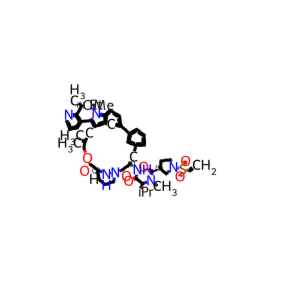 C=CS(=O)(=O)N1CC[C@H](C(=O)N(C)C(C(=O)N[C@H]2Cc3cccc(c3)-c3ccc4c(c3)c(c(-c3cccnc3[C@H](C)OC)n4CC)CC(C)(C)COC(=O)[C@@H]3CCCN(N3)C2=O)C(C)C)C1